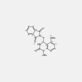 CCCCOC(=O)NC(CN1C(=O)c2ccccc2C1=O)c1ccccc1OC